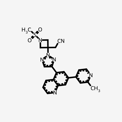 Cc1cc(-c2cc(-c3cnn(C4(CC#N)CN(S(C)(=O)=O)C4)n3)c3cccnc3c2)ccn1